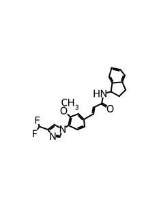 COc1cc(/C=C/C(=O)NC2CCc3ccccc32)ccc1-n1cnc(C(F)F)c1